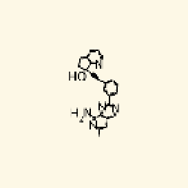 Cc1cc2cnc(-c3cccc(C#C[C@@]4(O)CCc5cccnc54)c3)nc2c(N)n1